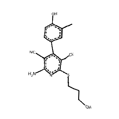 Cc1cc(-c2c(C#N)c(N)nc(SCCCO)c2C#N)ccc1O